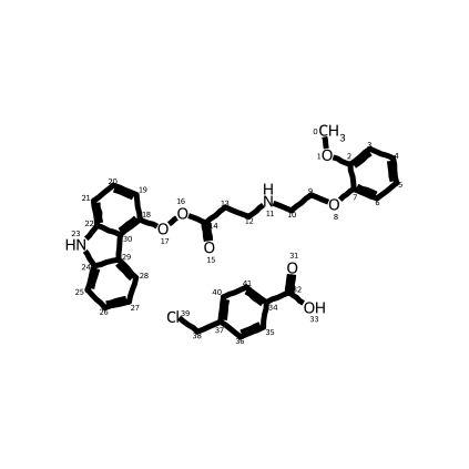 COc1ccccc1OCCNCCC(=O)OOc1cccc2[nH]c3ccccc3c12.O=C(O)c1ccc(CCl)cc1